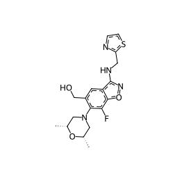 C[C@@H]1CN(c2c(CO)cc3c(NCc4nccs4)noc3c2F)C[C@H](C)O1